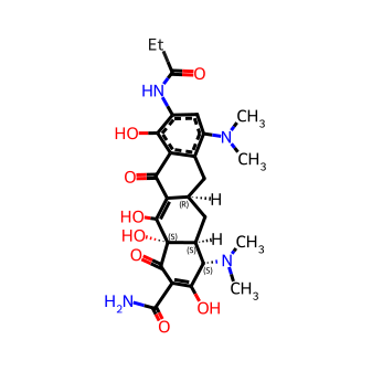 CCC(=O)Nc1cc(N(C)C)c2c(c1O)C(=O)C1=C(O)[C@]3(O)C(=O)C(C(N)=O)=C(O)[C@@H](N(C)C)[C@@H]3C[C@@H]1C2